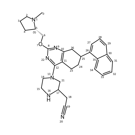 CN1CCC[C@H]1COc1nc2c(c(N3CCNC(CC#N)C3)n1)CCC(c1cccc3ccccc13)C2